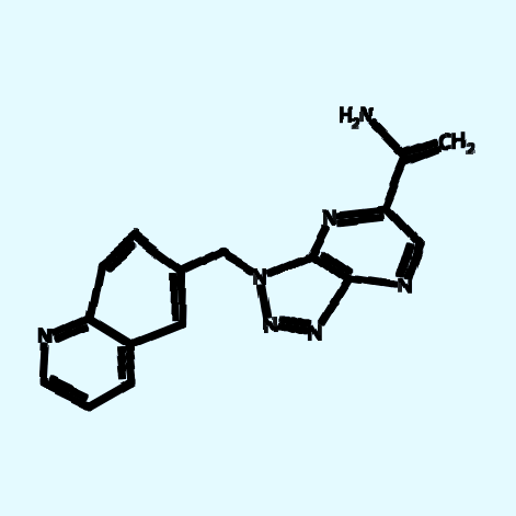 C=C(N)c1cnc2nnn(Cc3ccc4ncccc4c3)c2n1